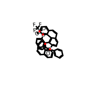 O=P(c1ccccc1)(c1ccccc1)c1ccc2ccc3ccccc3c2c1-c1c(OS(=O)(=O)C(F)(F)F)ccc2ccc3ccccc3c12